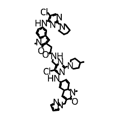 CC1CCN(c2nc(CNC(=O)Cc3cc4cc(Nc5nc(N6CCCCC6)ncc5Cl)ccc4n(C)c3=O)c(Cl)c(NC3=CC4C=C(Cn5cccn5)C(=O)N(C)C4C=C3)n2)CC1